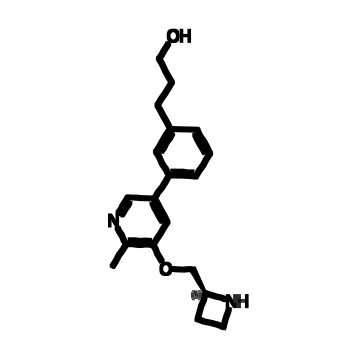 Cc1ncc(-c2cccc(CCCO)c2)cc1OC[C@@H]1CCN1